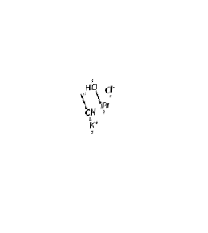 CC#N.CC(C)O.[Cl-].[K+]